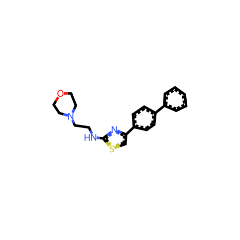 c1ccc(-c2ccc(-c3csc(NCCN4CCOCC4)n3)cc2)cc1